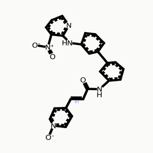 O=C(/C=C/c1cc[n+]([O-])cc1)Nc1cccc(-c2cccc(Nc3ncccc3[N+](=O)[O-])c2)c1